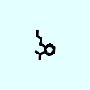 C=CCOc1ccccc1N(C)C